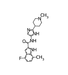 Cc1ccc(F)c2cc(C(=O)Nc3cnc(C4CCN(C)CC4)[nH]3)[nH]c12